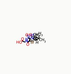 C[C@@H]1[C@H]2C[C@@H](C[C@H]1Nc1c([N+](=O)[O-])nn(CC(=O)O)c(=O)c1Br)C2(C)C